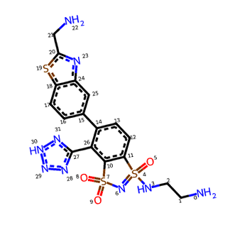 NCCNS1(=O)=NS(=O)(=O)c2c1ccc(-c1ccc3sc(CN)nc3c1)c2-c1nn[nH]n1